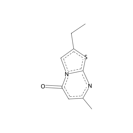 CCc1cn2c(=O)cc(C)nc2s1